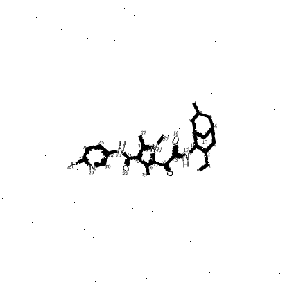 CCC1CC2CC(C)CC(C2)C1NC(=O)C(=O)c1c(C)c(C(=O)Nc2ccc(F)nc2)c(C)n1C